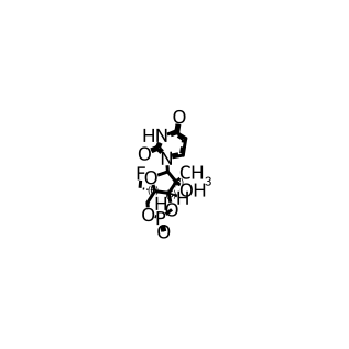 C[C@]1(O)C(n2ccc(=O)[nH]c2=O)O[C@]2(CF)CO[PH](=O)O[C@H]21